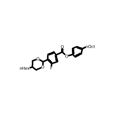 CCCCCCCCc1ccc(OC(=O)c2ccc(C3OCC(CCCCCC)CO3)c(F)c2)cc1